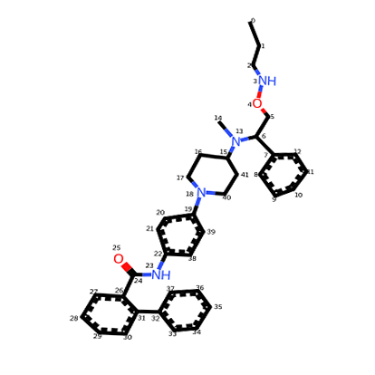 CCCNOCC(c1ccccc1)N(C)C1CCN(c2ccc(NC(=O)c3ccccc3-c3ccccc3)cc2)CC1